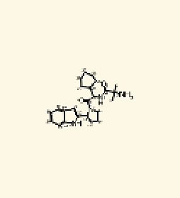 CC(C)(N)C(=O)NC(C(=O)N1CCCC1c1cc2ccccc2[nH]1)C1CCCCC1